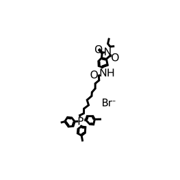 CCC(C)N1C(=O)c2ccc(NC(=O)CCCCCCCCCC[P+](c3ccc(C)cc3)(c3ccc(C)cc3)c3ccc(C)cc3)cc2C1=O.[Br-]